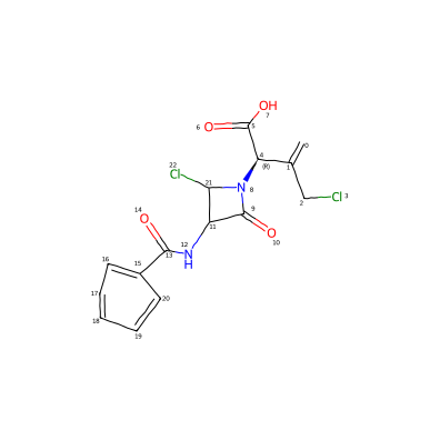 C=C(CCl)[C@H](C(=O)O)N1C(=O)C(NC(=O)c2ccccc2)C1Cl